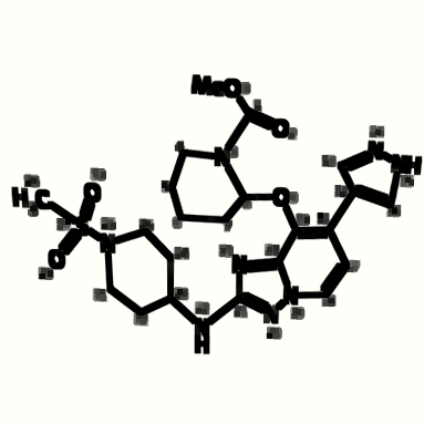 COC(=O)N1CCCCC1Oc1c(-c2cn[nH]c2)ccn2nc(NC3CCN(S(C)(=O)=O)CC3)nc12